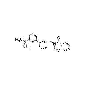 CN(C)c1cccc(-c2cccc(Cn3cnc4cnccc4c3=O)c2)c1